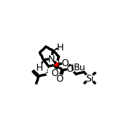 C=C(C)C[C@@H]1[C@@H]2CC[C@H](CN1C(=O)OCC[Si](C)(C)C)N2C(=O)OC(C)(C)C